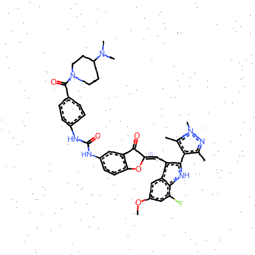 COc1cc(F)c2[nH]c(-c3c(C)nn(C)c3C)c(/C=C3\Oc4ccc(NC(=O)Nc5ccc(C(=O)N6CCC(N(C)C)CC6)cc5)cc4C3=O)c2c1